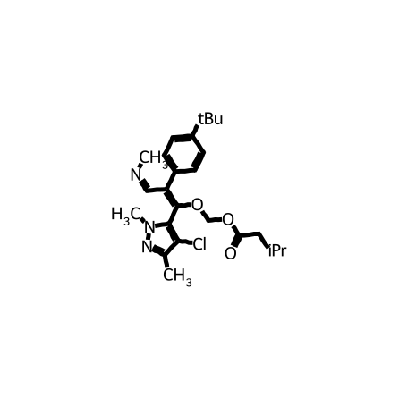 C/N=C\C(=C(\OCOC(=O)CC(C)C)c1c(Cl)c(C)nn1C)c1ccc(C(C)(C)C)cc1